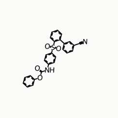 N#Cc1cccc(-c2ccccc2S(=O)(=O)c2ccc(NC(=O)Oc3ccccc3)cc2)c1